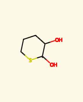 O[C]1SCCCC1O